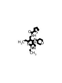 CCc1nc2c(cnn2CC)c(NC2CCOCC2)c1CNC(=O)c1cccs1